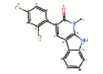 Cn1c(=O)c(-c2ccc(Cl)cc2Cl)cc2c3ccccc3[nH]c21